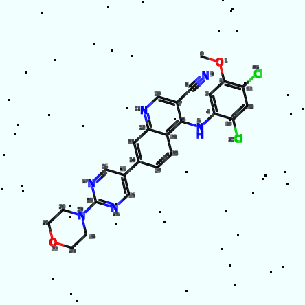 COc1cc(Nc2c(C#N)cnc3cc(-c4cnc(N5CCOCC5)nc4)ccc23)c(Cl)cc1Cl